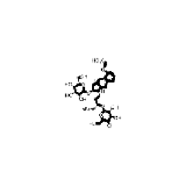 CCCCC[C@H](CC[C@H]1[C@@H]2Cc3cccc(OCC(=O)O)c3C[C@@H]2C[C@@H]1OC1O[C@H](CO)[C@@H](O)[C@H](O)[C@H]1O)OC1OC(CO)[C@@H](O)[C@H](O)[C@H]1O